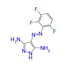 Nc1n[nH]c(N)c1N=Nc1c(F)ccc(F)c1F